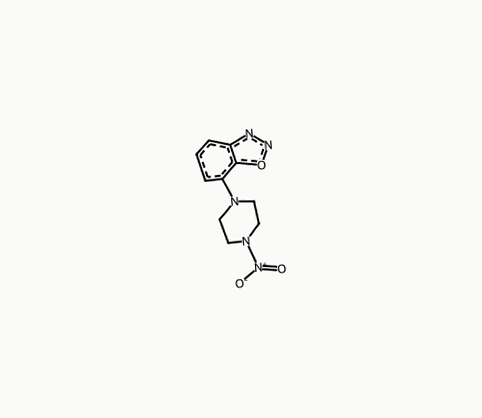 O=[N+]([O-])N1CCN(c2cccc3nnoc23)CC1